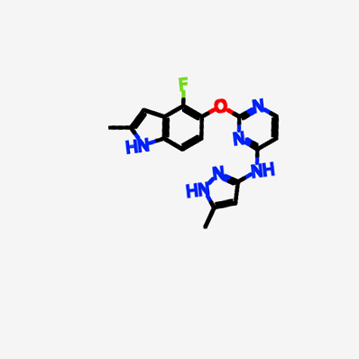 Cc1cc(Nc2ccnc(Oc3ccc4[nH]c(C)cc4c3F)n2)n[nH]1